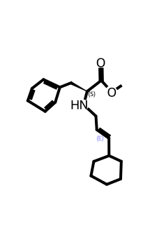 COC(=O)[C@H](Cc1ccccc1)NC/C=C/C1CCCCC1